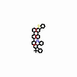 CC1(C)c2ccccc2-c2c(-c3ccccc3N(c3ccc(-c4ccc5sc6ccccc6c5c4)cc3)c3ccccc3-c3ccc(-c4ccccc4)cc3)cccc21